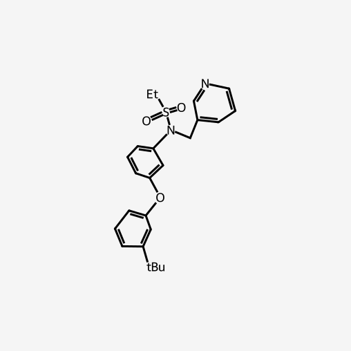 CCS(=O)(=O)N(Cc1cccnc1)c1cccc(Oc2cccc(C(C)(C)C)c2)c1